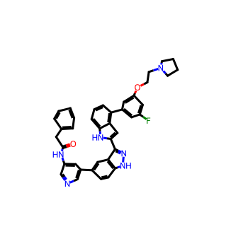 O=C(Cc1ccccc1)Nc1cncc(-c2ccc3[nH]nc(-c4cc5c(-c6cc(F)cc(OCCN7CCCC7)c6)cccc5[nH]4)c3c2)c1